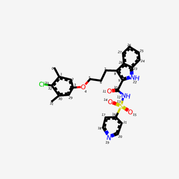 Cc1cc(OCCCc2c(C(=O)NS(=O)(=O)c3ccncc3)[nH]c3ccccc23)cc(C)c1Cl